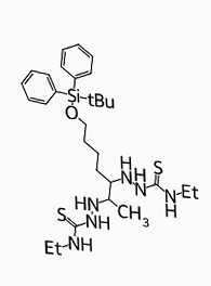 CCNC(=S)NNC(C)C(CCCCO[Si](c1ccccc1)(c1ccccc1)C(C)(C)C)NNC(=S)NCC